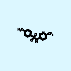 Cc1ccc(S(=O)(=O)Nc2ccc(C(F)(F)F)nn2)cc1